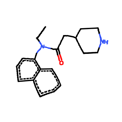 CCN(C(=O)CC1CCNCC1)c1cccc2ccccc12